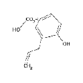 C=CCc1ccccc1O.O=C(O)O